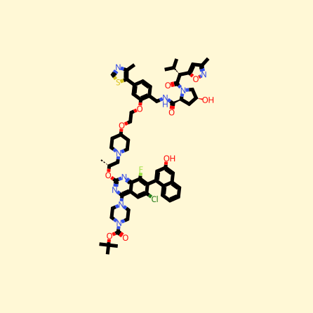 Cc1cc([C@H](C(=O)N2C[C@H](O)C[C@H]2C(=O)NCc2ccc(-c3scnc3C)cc2OCCOC2CCN(C[C@@H](C)Oc3nc(N4CCN(C(=O)OC(C)(C)C)CC4)c4cc(Cl)c(-c5cc(O)cc6ccccc56)c(F)c4n3)CC2)C(C)C)on1